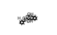 CN(Cc1ccccc1)CC(O)C1Cc2ccccc2CN1C(=O)O